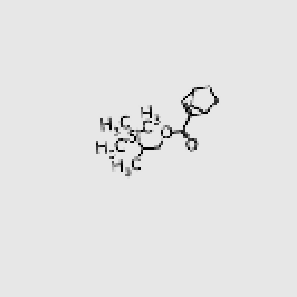 CC(COC(=O)C1=CC2CCC1C2)[Si](C)(C)C